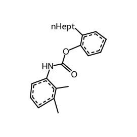 CCCCCCCc1ccccc1OC(=O)Nc1cccc(C)c1C